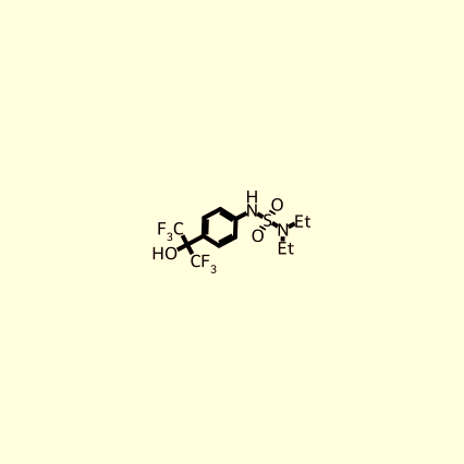 CCN(CC)S(=O)(=O)Nc1ccc(C(O)(C(F)(F)F)C(F)(F)F)cc1